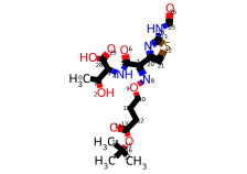 CC(O)C(NC(=O)C(=NOCCCC(=O)OC(C)(C)C)c1csc(NC=O)n1)C(=O)O